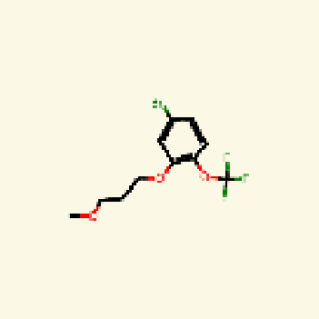 COCCCOc1cc(Br)ccc1OC(F)(F)F